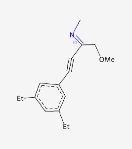 CCc1cc(C#C/C(COC)=N/C)cc(CC)c1